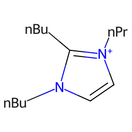 CCCCc1n(CCCC)cc[n+]1CCC